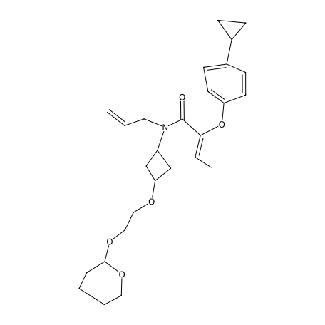 C=CCN(C(=O)/C(=C/C)Oc1ccc(C2CC2)cc1)C1CC(OCCOC2CCCCO2)C1